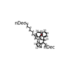 CCCCCCCCCCCCCCCCCCCn1ccnc1C(CCCCCCCCCCC)C(C)(Cc1ccccc1)c1ccccc1